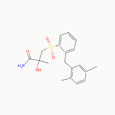 Cc1ccc(C)c(Cc2ccccc2S(=O)(=O)CC(C)(O)C(N)=O)c1